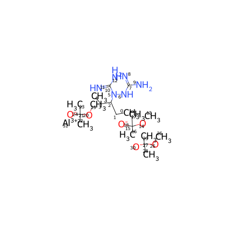 CCC(CC)N(NC(=N)N)C(=N)N.COC(C)(C)[O-].COC(C)(C)[O-].COC(C)(C)[O-].[Al+3]